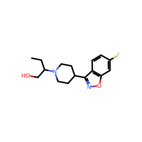 CCC(CO)N1CCC(c2noc3cc(F)ccc23)CC1